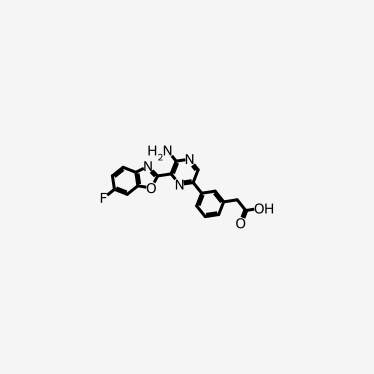 Nc1ncc(-c2cccc(CC(=O)O)c2)nc1-c1nc2ccc(F)cc2o1